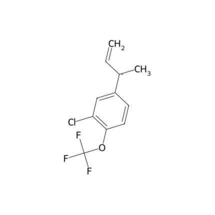 C=C[C](C)c1ccc(OC(F)(F)F)c(Cl)c1